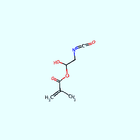 C=C(C)C(=O)OC(O)CN=C=O